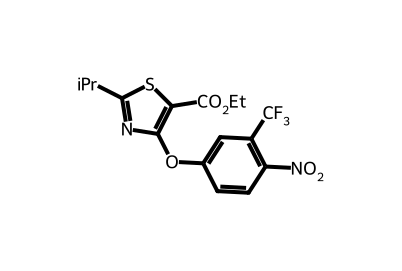 CCOC(=O)c1sc(C(C)C)nc1Oc1ccc([N+](=O)[O-])c(C(F)(F)F)c1